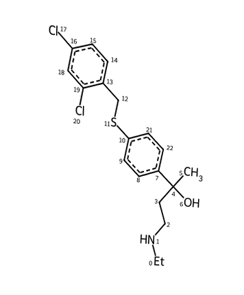 CCNCCC(C)(O)c1ccc(SCc2ccc(Cl)cc2Cl)cc1